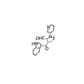 O=CC1C(C(=O)c2c[nH]c3ccccc23)CSN1c1cccnc1